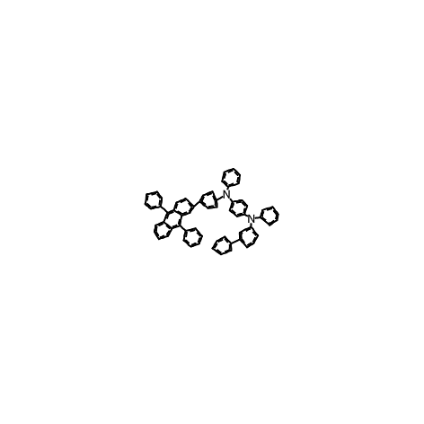 c1ccc(-c2cccc(N(c3ccccc3)c3ccc(N(c4ccccc4)c4ccc(-c5ccc6c(-c7ccccc7)c7ccccc7c(-c7ccccc7)c6c5)cc4)cc3)c2)cc1